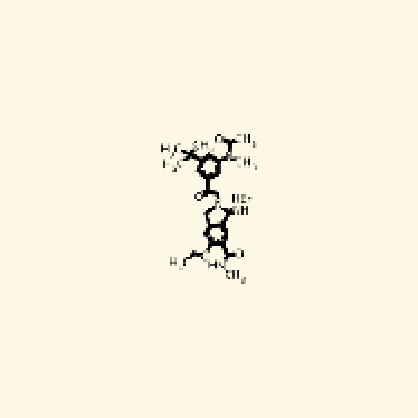 Br.CCOc1cc2c(cc1C(=O)NC)C(=N)N(CC(=O)c1cc(N(C)C(C)=O)cc(C(C)(C)C)c1)C2